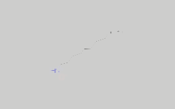 CCCCCCCCCCCCCC[NH+](C)[O-]